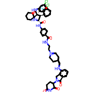 O=C1CCC(N2Cc3c(NCC4CCN(CCNC(=O)c5ccc(NC(=O)[C@@H]6NC7(CCCCC7)[C@@]7(C(=O)Nc8cc(Cl)ccc87)[C@H]6c6cccc(Cl)c6F)cc5)CC4)cccc3C2=O)C(=O)N1